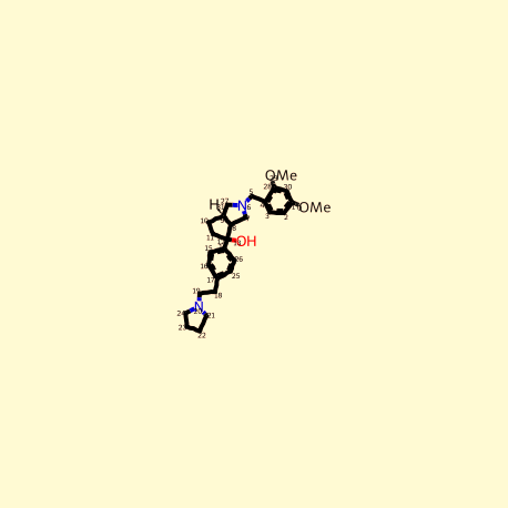 COc1ccc(CN2CC3[C@@H](CCC3(O)c3ccc(CCN4CCCC4)cc3)C2)c(OC)c1